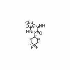 CC(C)(C)OC(=O)N[C@H](C(=O)C=N)C1CCC(F)(F)CC1